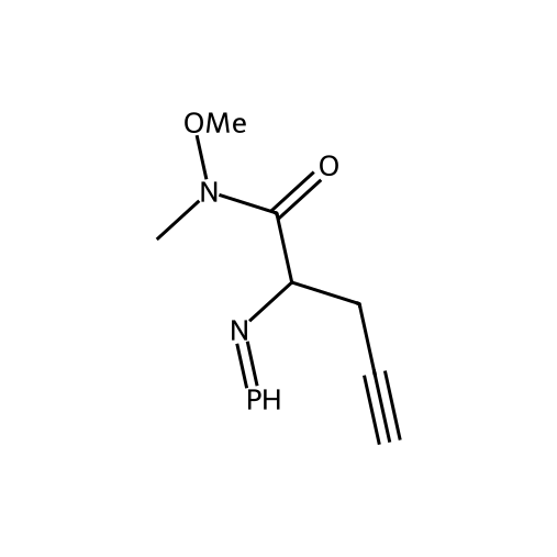 C#CCC(N=P)C(=O)N(C)OC